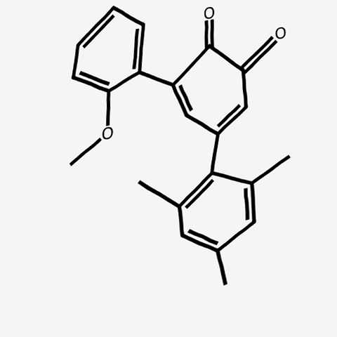 COc1ccccc1C1=CC(c2c(C)cc(C)cc2C)=CC(=O)C1=O